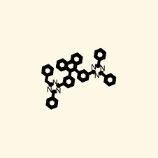 c1ccc(Cc2nc(-c3ccccc3)nc(-c3cccc(-c4c(-c5cccc(-c6nc(-c7ccccc7)nc(-c7ccccc7)n6)c5)c5ccccc5c5ccccc45)c3)n2)cc1